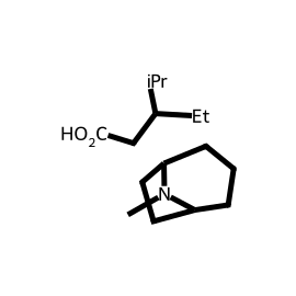 CCC(CC(=O)O)C(C)C.CN1C2CCCC1CC2